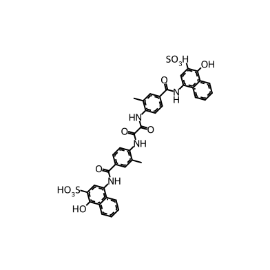 Cc1cc(C(=O)Nc2cc(S(=O)(=O)O)c(O)c3ccccc23)ccc1NC(=O)C(=O)Nc1ccc(C(=O)Nc2cc(S(=O)(=O)O)c(O)c3ccccc23)cc1C